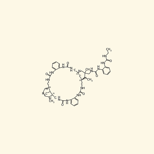 CCNC(=O)Nc1ccccc1NC(=O)NCC1(C)C[C@H]2CNC(=O)Nc3ccccc3NC(=O)NC[C@@H]3CCCC(C)[C@H](CNC(=O)Nc4ccccc4NC(=O)NC[C@H](C2)C1C)C3C